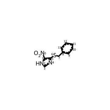 O=[N+]([O-])c1[nH]cnc1SCc1ccccc1